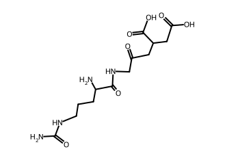 NC(=O)NCCCC(N)C(=O)NCC(=O)CC(CC(=O)O)C(=O)O